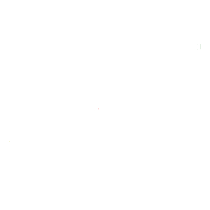 ClCCCOCCOc1cccc(-c2ccsc2)c1